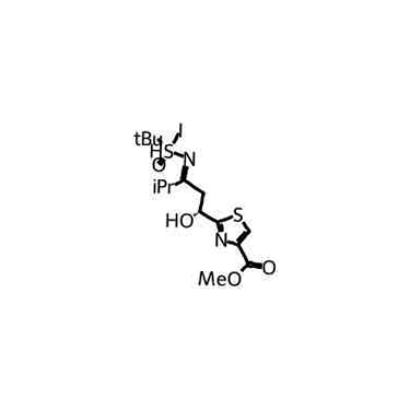 COC(=O)c1csc([C@H](O)C/C(=N/[SH](=O)(I)C(C)(C)C)C(C)C)n1